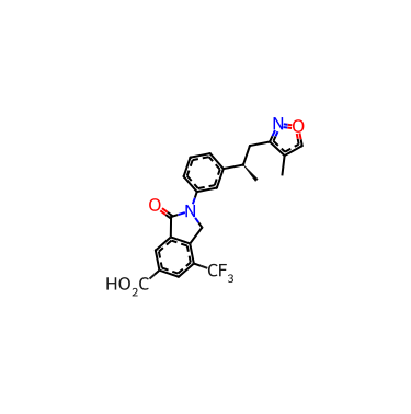 Cc1conc1C[C@@H](C)c1cccc(N2Cc3c(cc(C(=O)O)cc3C(F)(F)F)C2=O)c1